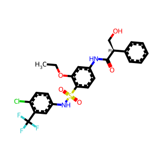 CCOc1cc(NC(=O)[C@@H](CO)c2ccccc2)ccc1S(=O)(=O)Nc1ccc(Cl)c(C(F)(F)F)c1